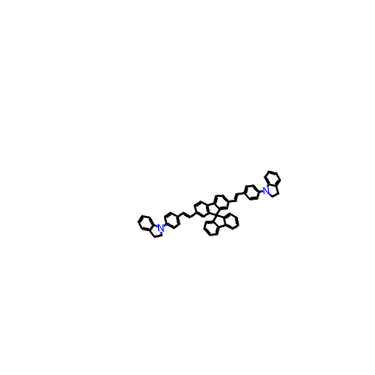 C(=C\c1ccc2c(c1)C1(c3ccccc3-c3ccccc31)c1cc(/C=C/c3ccc(N4CCc5ccccc54)cc3)ccc1-2)/c1ccc(N2CCc3ccccc32)cc1